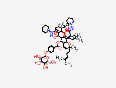 CC(C)=CCCC1(C)C=Cc2c(c(CC=C(C)C)c3c(c2OC(=O)c2ccc(O[C@@H]4O[C@H](CO)[C@@H](O)[C@H](O)[C@H]4O)cc2)C(=O)C2C(NN4CCCCC4)C4CC5C(C)(C)OC(C/C=C(/C)C(=O)NN6CCCCC6)(C4=O)C25O3)O1